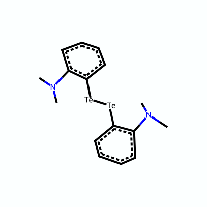 CN(C)c1ccccc1[Te][Te]c1ccccc1N(C)C